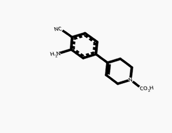 N#Cc1ccc(C2=CCN(C(=O)O)CC2)cc1N